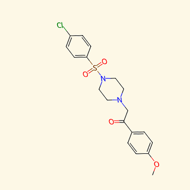 COc1ccc(C(=O)CN2CCN(S(=O)(=O)c3ccc(Cl)cc3)CC2)cc1